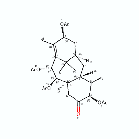 CC(=O)O[C@H]1C[C@H]2C[C@@H]3C(C)[C@@H](OC(C)=O)C(=O)C[C@@]3(C)[C@@H](OC(C)=O)[C@H](OC(C)=O)C(=C1C)C2(C)C